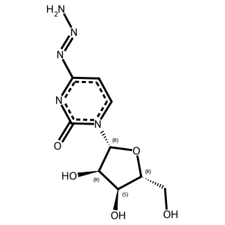 NN=Nc1ccn([C@@H]2O[C@H](CO)[C@@H](O)[C@H]2O)c(=O)n1